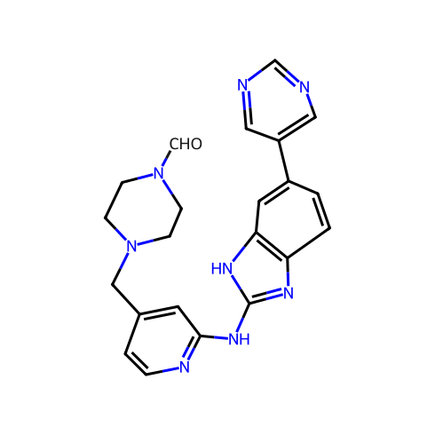 O=CN1CCN(Cc2ccnc(Nc3nc4ccc(-c5cncnc5)cc4[nH]3)c2)CC1